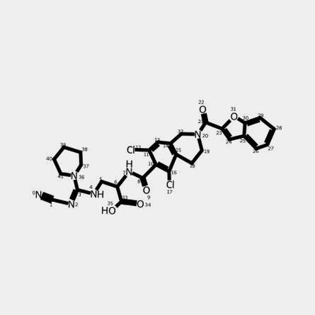 N#C/N=C(/NCC(NC(=O)c1c(Cl)cc2c(c1Cl)CCN(C(=O)c1cc3ccccc3o1)C2)C(=O)O)N1CCCCC1